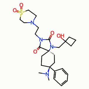 CN(C)[C@]1(c2ccccc2)CC[C@]2(CC1)C(=O)N(CCN1CCS(=O)(=O)CC1)C(=O)N2CC1(O)CCC1